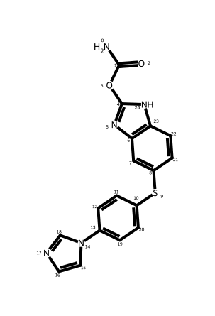 NC(=O)Oc1nc2cc(Sc3ccc(-n4ccnc4)cc3)ccc2[nH]1